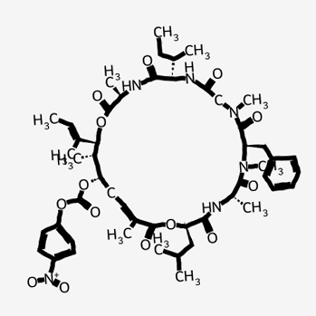 C/C=C(\C)[C@H]1OC(=O)[C@@H](C)NC(=O)[C@H](C(C)CC)NC(=O)CN(C)C(=O)[C@@H](Cc2ccccc2)N(C)C(=O)[C@H](C)NC(=O)[C@@H](CC(C)C)OC(=O)/C(C)=C/C[C@H](OC(=O)Oc2ccc([N+](=O)[O-])cc2)[C@@H]1C